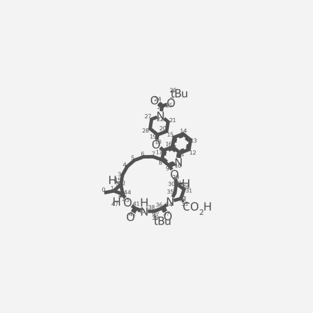 CC1[C@H]2CCCCCc3c(nc4ccccc4c3OC3CCN(C(=O)OC(C)(C)C)CC3)O[C@@H]3C[C@@H](C(=O)O)N(C3)C(=O)[C@H](C(C)(C)C)NC(=O)O[C@H]12